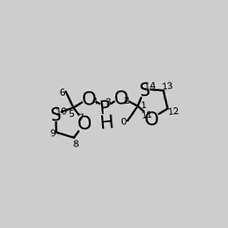 CC1(OPOC2(C)OCCS2)OCCS1